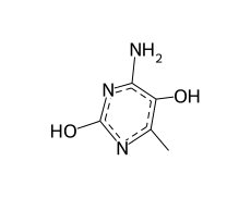 Cc1nc(O)nc(N)c1O